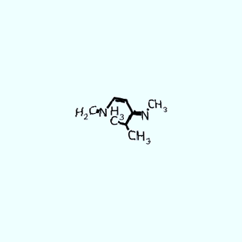 C=N/C=C\C(=N/C)C(C)C